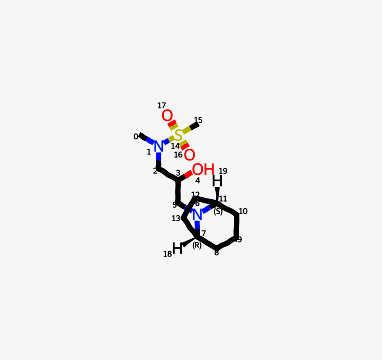 CN(CC(O)CN1[C@@H]2C[CH]C[C@H]1CC2)S(C)(=O)=O